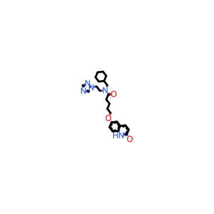 O=C(CCCCOc1ccc2[nH]c(=O)ccc2c1)N(CCn1cncn1)CC1CCCCC1